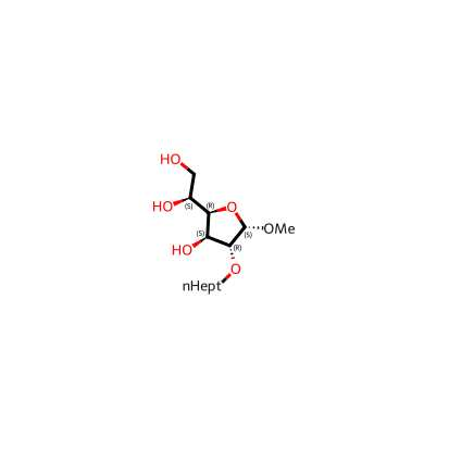 CCCCCCCO[C@H]1[C@@H](OC)O[C@H]([C@@H](O)CO)[C@@H]1O